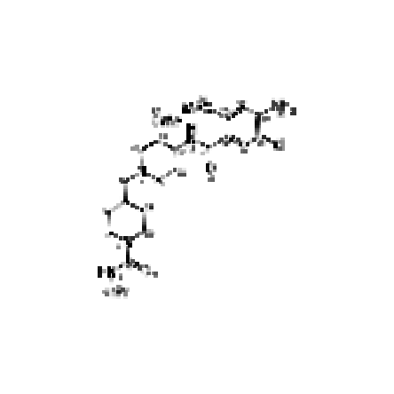 CCCNC(=O)N1CCC(CN2CCC(NC(=O)c3cc(Cl)c(N)cc3OC)C(OC)C2)CC1